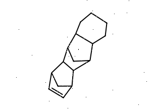 C1=CC2CC1C1C3CC(C4CCCCC43)C21